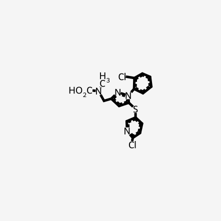 CN(Cc1cc(Sc2ccc(Cl)nc2)n(-c2ccccc2Cl)n1)C(=O)O